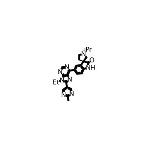 CCn1c(-c2cnc(C)nc2)nc2c(-c3ccc4c(c3)[C@@]3(CCN(C(C)C)C3)C(=O)N4)ncnc21